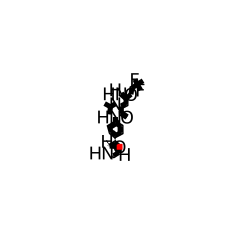 CC(C)N/C(=C\C(=N)OCC(C)(F)F)C(=O)Nc1ccc([C@@H]2O[C@H]3CN[C@@H]2C3)cc1